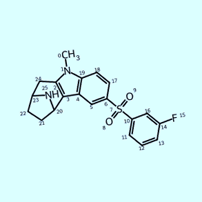 Cn1c2c(c3cc(S(=O)(=O)c4cccc(F)c4)ccc31)C1CCC(C2)N1